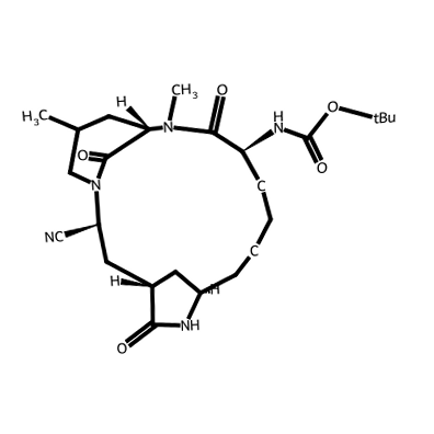 CC1C[C@H]2C(=O)N(C1)[C@H](C#N)C[C@@H]1C[C@@H](CCCC[C@H](NC(=O)OC(C)(C)C)C(=O)N2C)NC1=O